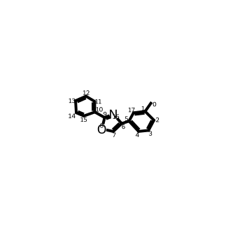 Cc1cccc(-c2coc(-c3ccccc3)n2)c1